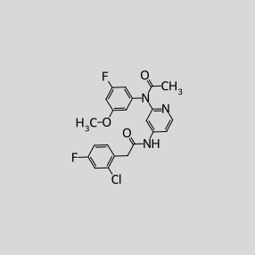 COc1cc(F)cc(N(C(C)=O)c2cc(NC(=O)Cc3ccc(F)cc3Cl)ccn2)c1